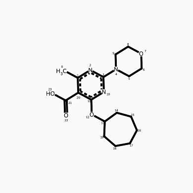 Cc1nc(N2CCOCC2)nc(OC2CCCCCC2)c1C(=O)O